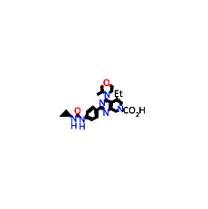 CC[C@@H]1CN(C(=O)O)Cc2nc(-c3ccc(NC(=O)NC4CC4)cc3)nc(N3CCOCC3C)c21